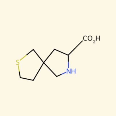 O=C(O)C1CC2(CCSC2)CN1